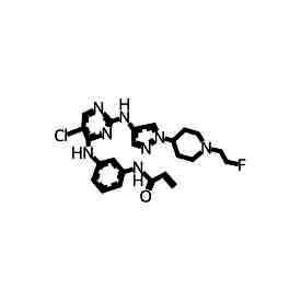 C=CC(=O)Nc1cccc(Nc2nc(Nc3cnn(C4CCN(CCF)CC4)c3)ncc2Cl)c1